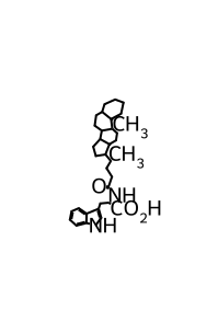 CC12CCCCC1CCC1C2CCC2(C)C(CCCC(=O)NC(Cc3c[nH]c4ccccc34)C(=O)O)CCC12